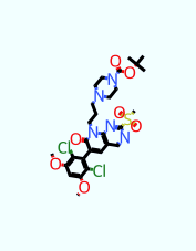 COc1cc(OC)c(Cl)c(-c2cc3cnc(S(C)(=O)=O)nc3n(CCCN3CCN(C(=O)OC(C)(C)C)CC3)c2=O)c1Cl